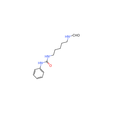 O=CNCCCCCNC(=O)Nc1ccccc1